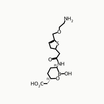 NCCOCC1=CCC(CC(=O)N[C@H]2CC[C@@H](CC(=O)O)OB2O)S1